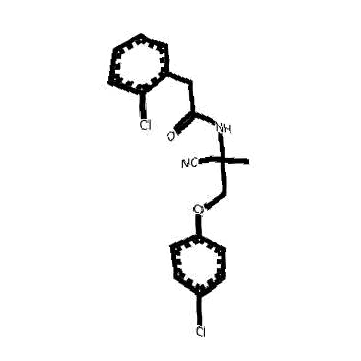 CC(C#N)(COc1ccc(Cl)cc1)NC(=O)Cc1ccccc1Cl